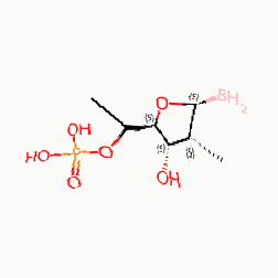 B[C@@H]1O[C@H](C(C)OP(=O)(O)O)[C@@H](O)[C@H]1C